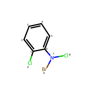 Clc1ccccc1N(Cl)Br